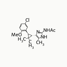 COc1ccc(Cl)cc1[C@H]1[C@H](c2nc(NC(C)=O)[nH]c2C)C1(C)C